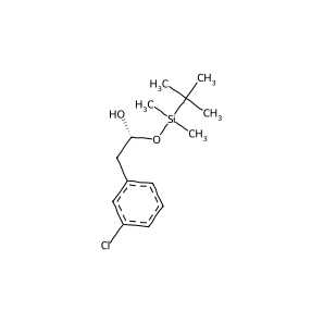 CC(C)(C)[Si](C)(C)O[C@@H](O)Cc1cccc(Cl)c1